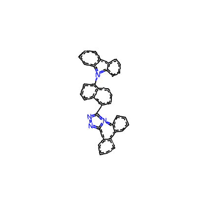 c1cc(-n2c3ccccc3c3ccccc32)c2cccc(-c3nnc4c5ccccc5c5ccccc5n34)c2c1